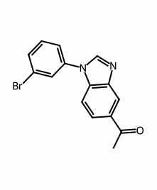 CC(=O)c1ccc2c(c1)ncn2-c1cccc(Br)c1